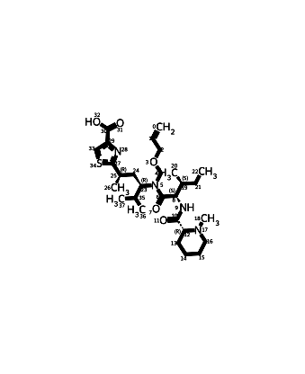 C=CCOCN(C(=O)[C@@H](NC(=O)[C@H]1CCCCN1C)[C@@H](C)CC)[C@H](C[C@@H](C)c1nc(C(=O)O)cs1)C(C)C